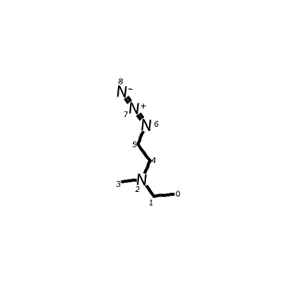 CCN(C)CCN=[N+]=[N-]